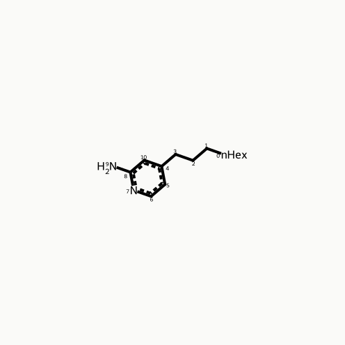 CCCCCCCCCc1ccnc(N)c1